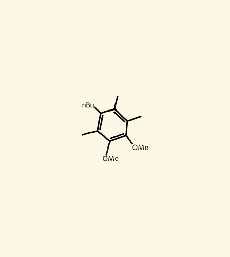 CCCCc1c(C)c(C)c(OC)c(OC)c1C